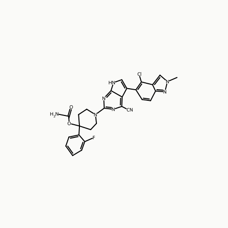 Cn1cc2c(Cl)c(-c3c[nH]c4nc(N5CCC(OC(N)=O)(c6ccccc6F)CC5)nc(C#N)c34)ccc2n1